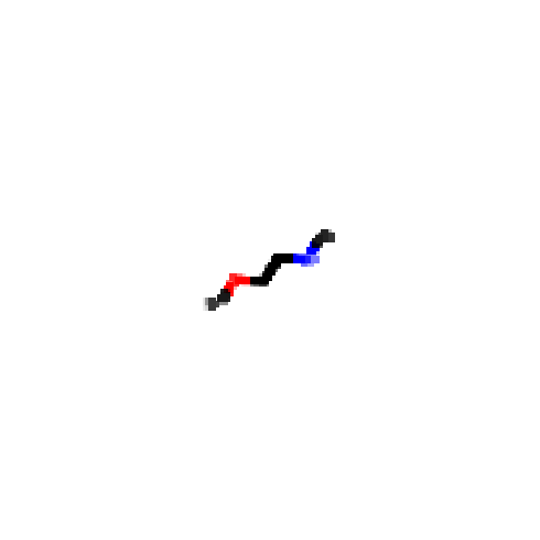 [CH2]CCOCCNC(C)C